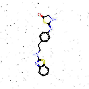 O=C1CN/C(=N/c2ccc(CCNc3nc4ccccc4s3)cc2)S1